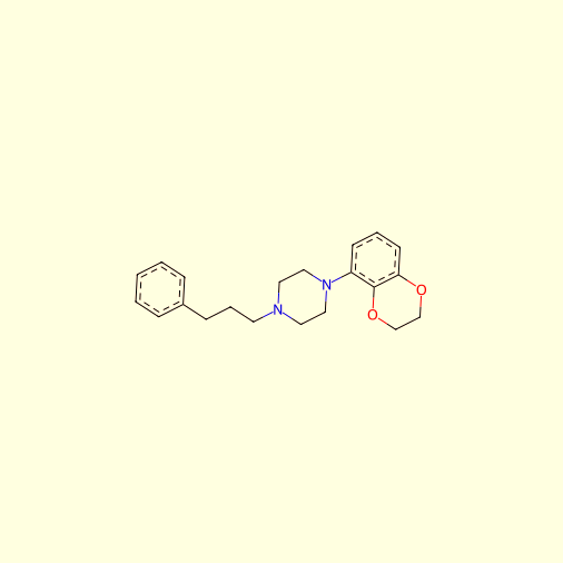 c1ccc(CCCN2CCN(c3cccc4c3OCCO4)CC2)cc1